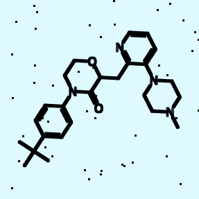 CN1CCN(c2cccnc2CC2OCCN(c3ccc(C(C)(C)C)cc3)C2=O)CC1